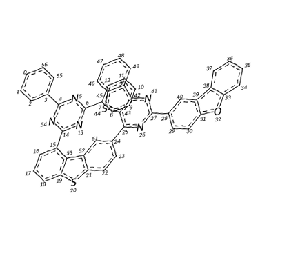 c1ccc(-c2nc(-c3ccccc3)nc(-c3cccc4sc5ccc(-c6nc(-c7ccc8oc9ccccc9c8c7)nc7c6sc6ccccc67)cc5c34)n2)cc1